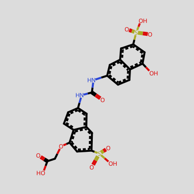 O=C(O)COc1cc(S(=O)(=O)O)cc2cc(NC(=O)Nc3ccc4c(O)cc(S(=O)(=O)O)cc4c3)ccc12